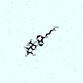 CCC(=O)C(O)[C@H]1O[C@@H](n2cnc3c(NCCCNC=O)ncnc32)[C@@](O)(C(=O)CC)[C@@]1(O)C(=O)CC